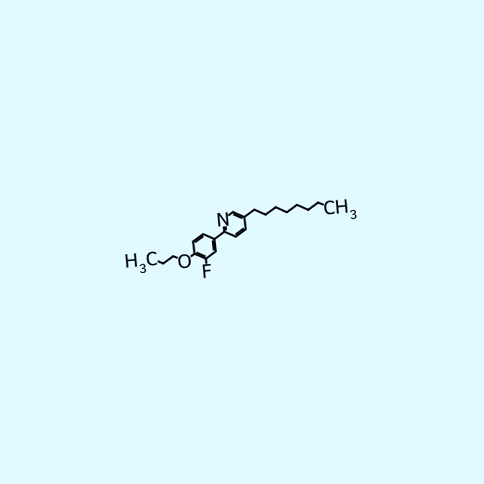 CCCCCCCCc1ccc(-c2ccc(OCCC)c(F)c2)nc1